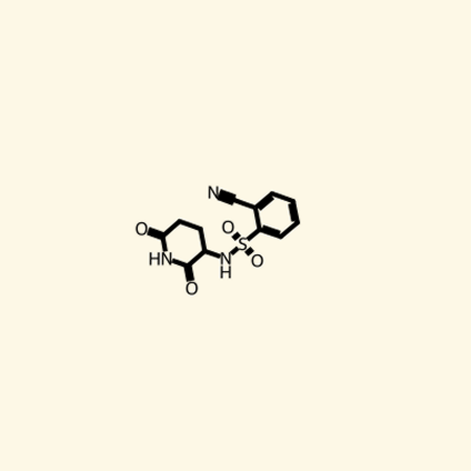 N#Cc1ccccc1S(=O)(=O)NC1CCC(=O)NC1=O